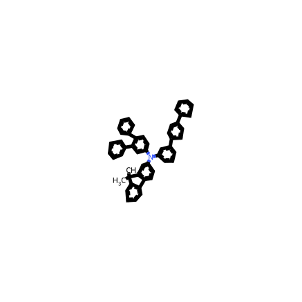 CC1(C)c2ccccc2-c2ccc(N(c3cccc(-c4ccc(-c5ccccc5)cc4)c3)c3ccc(-c4ccccc4)c(-c4ccccc4)c3)cc21